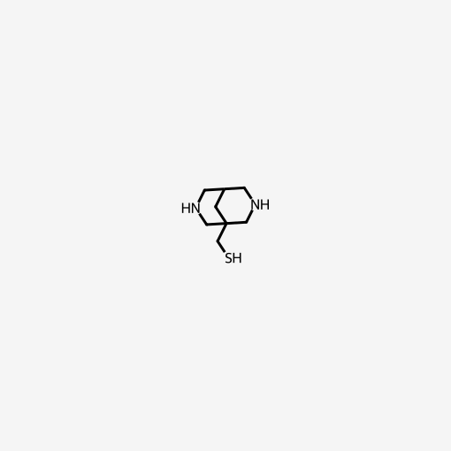 SCC12CNCC(CNC1)C2